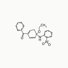 CCOC1(Nc2ccccc2[N+](=O)[O-])C=CC(C(=O)c2ccccc2)=CC1